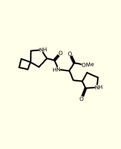 COC(=O)C(CC1CCNC1=O)NC(=O)C1CC2(CCC2)CN1